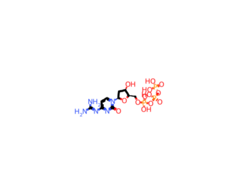 NC(N)=Nc1ccn([C@H]2C[C@@H](O)[C@@H](COP(=O)(O)OP(=O)(O)OP(=O)(O)O)O2)c(=O)n1